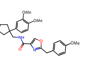 COc1ccc(Cc2nc(C(=O)NCC3(c4ccc(OC)c(OC)c4)CCCC3)co2)cc1